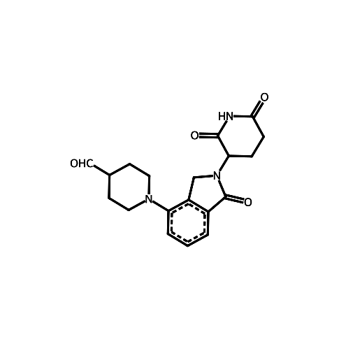 O=CC1CCN(c2cccc3c2CN(C2CCC(=O)NC2=O)C3=O)CC1